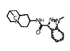 Cn1nc(C(=O)NC2CC3CC4CCN3C(C4)C2)c2ccccc21